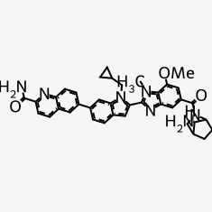 COc1cc(C(=O)N2CC3CCC2[C@@H]3N)cc2nc(-c3cc4ccc(-c5ccc6nc(C(N)=O)ccc6c5)cc4n3CC3CC3)n(C)c12